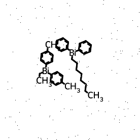 CCCCCCC[CH2][Bi]([c]1ccccc1)[c]1ccccc1.C[CH2][Bi]([c]1ccc(C)cc1)[c]1ccc(C)cc1